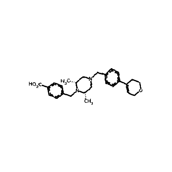 C[C@@H]1CN(Cc2ccc(C3=CCOCC3)cc2)C[C@H](C)N1Cc1ccc(C(=O)O)cc1